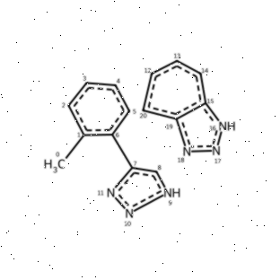 Cc1ccccc1-c1c[nH]nn1.c1ccc2[nH]nnc2c1